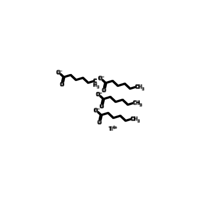 CCCCCC(=O)[O-].CCCCCC(=O)[O-].CCCCCC(=O)[O-].CCCCCC(=O)[O-].[Ti+4]